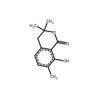 Cc1ccc2c(c1O)C(=O)OC(C)(C)C2